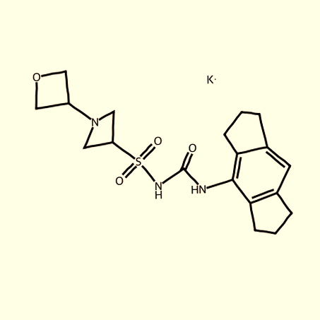 O=C(Nc1c2c(cc3c1CCC3)CCC2)NS(=O)(=O)C1CN(C2COC2)C1.[K]